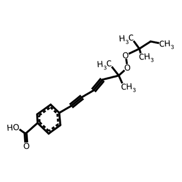 CCC(C)(C)OOC(C)(C)C#CC#Cc1ccc(C(=O)O)cc1